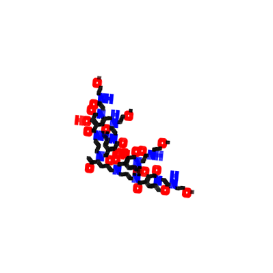 COCCNC(=O)Cn1c(C)cc(C(=O)NCCCN(CCCC(C(C)=O)N(CCCNC(=O)c2cc(C)n(CC(=O)NCCOC)c(=O)c2O)C(=O)c2cc(C)n(CC(=O)NCCOC)c(=O)c2O)C(=O)c2cc(C)n(CC(=O)NCCOC)c(=O)c2O)c(O)c1=O